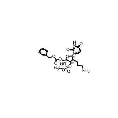 COP(=O)(O)O[C@@H]1C(CCCN)[C@H](n2ccc(=O)[nH]c2=O)O[C@@H]1COC(=O)OCc1ccccc1